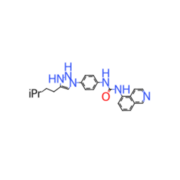 CC(C)CCC1=CN(c2ccc(NC(=O)Nc3cccc4cnccc34)cc2)NN1